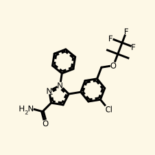 CC(C)(OCc1cc(Cl)cc(-c2cc(C(N)=O)nn2-c2ccccc2)c1)C(F)(F)F